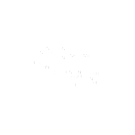 C=CC(=O)Nc1cc(Nc2ncc(C(=N)OC(C)=N)c(-c3c[nH]c4ccccc34)n2)c(OC)cc1N(C)CCN(C)C